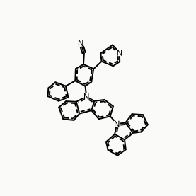 N#Cc1cc(-c2ccccc2)c(-n2c3ccccc3c3cc(-n4c5ccccc5c5ccccc54)ccc32)cc1-c1ccncc1